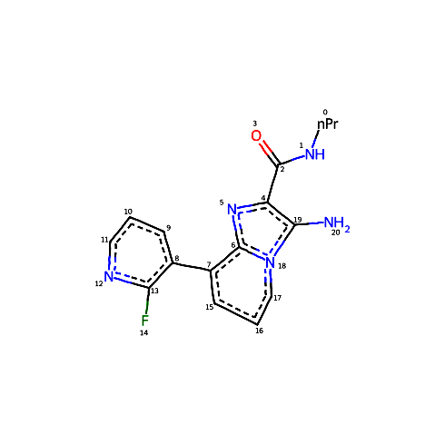 CCCNC(=O)c1nc2c(-c3cccnc3F)cccn2c1N